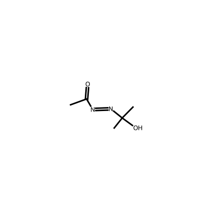 CC(=O)N=NC(C)(C)O